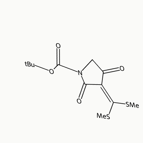 CSC(SC)=C1C(=O)CN(C(=O)OC(C)(C)C)C1=O